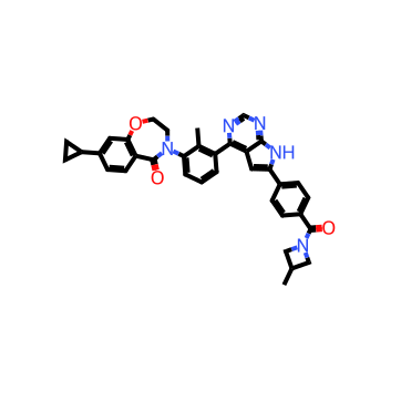 Cc1c(-c2ncnc3[nH]c(-c4ccc(C(=O)N5CC(C)C5)cc4)cc23)cccc1N1CCOc2cc(C3CC3)ccc2C1=O